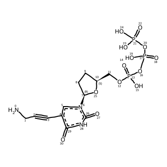 NCC#Cc1cn([C@H]2CC[C@@H](COP(=O)(O)OP(=O)(O)OP(=O)(O)O)O2)c(=O)[nH]c1=O